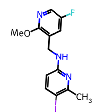 COc1ncc(F)cc1CNc1ccc(I)c(C)n1